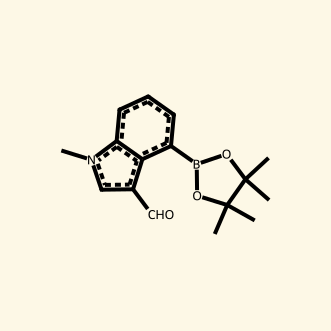 Cn1cc(C=O)c2c(B3OC(C)(C)C(C)(C)O3)cccc21